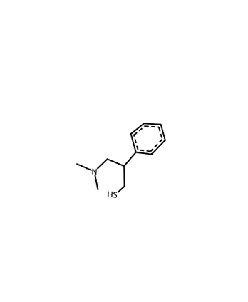 CN(C)CC(CS)c1ccccc1